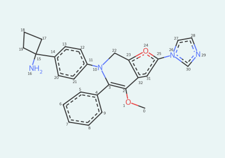 COC1=C(c2ccccc2)N(c2ccc(C3(N)CCC3)cc2)Cc2oc(-n3ccnc3)cc21